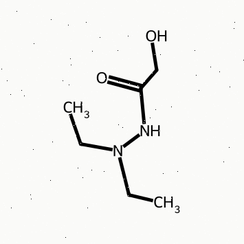 CCN(CC)NC(=O)CO